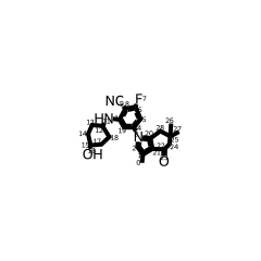 Cc1cn(-c2cc(F)c(C#N)c(NC3CCC(O)CC3)c2)c2c1C(=O)CC(C)(C)C2